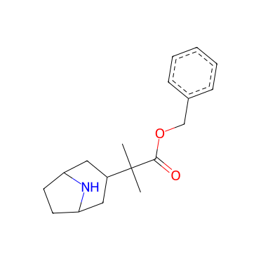 CC(C)(C(=O)OCc1ccccc1)C1CC2CCC(C1)N2